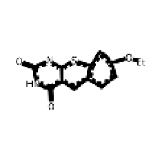 CCOc1ccc2cc3c(=O)[nH]c(=O)nc-3sc2c1